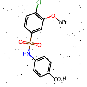 CCCOc1cc(S(=O)(=O)Nc2ccc(C(=O)O)cc2)ccc1Cl